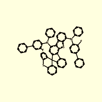 Fc1cc(-c2ccccc2)ccc1N(c1ccccc1)c1cccc2c1sc1c3c(cc(N(c4ccccc4)c4ccc(-c5ccccc5)cc4F)c12)C1(c2ccccc2Sc2ccccc21)c1ccccc1-3